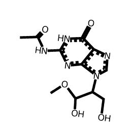 COC(O)C(CO)n1cnc2c(=O)[nH]c(NC(C)=O)nc21